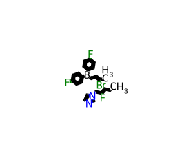 CC(Br)=CCB(c1ccc(F)cc1)c1ccc(F)cc1.CCC=C(F)Cn1ccnc1